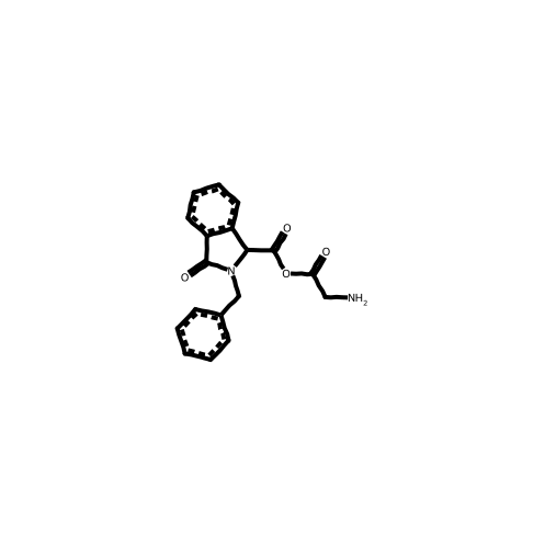 NCC(=O)OC(=O)C1c2ccccc2C(=O)N1Cc1ccccc1